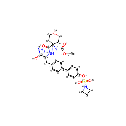 CC(C)(C)OC(=O)NC1(C(=O)N[C@@H](Cc2ccc(-c3ccc(OS(=O)(=O)N4CCC4)cc3)cc2)C(N)=O)CCOCC1